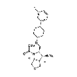 CN[C@H]1[C@H]2COC[C@H]2N(C(=O)OC)[C@H]1CO[C@H]1CC[C@@H](c2cccc(F)c2)CC1